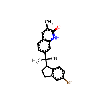 Cc1cc2ccc(C(C)(C#N)C3CCc4cc(Br)ccc43)cc2[nH]c1=O